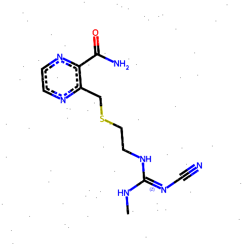 CN/C(=N/C#N)NCCSCc1nccnc1C(N)=O